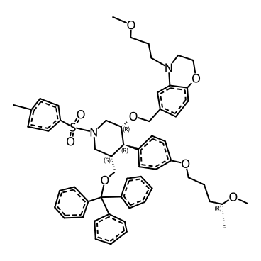 COCCCN1CCOc2ccc(CO[C@H]3CN(S(=O)(=O)c4ccc(C)cc4)C[C@@H](COC(c4ccccc4)(c4ccccc4)c4ccccc4)[C@@H]3c3ccc(OCCC[C@@H](C)OC)cc3)cc21